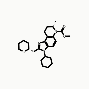 COC(=O)N1c2ccc3c(nc(C[C@H]4CCCCO4)n3C3CCCCC3)c2CC[C@@H]1C